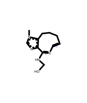 Cn1cnc2c1CCC/C=C/N=C\2NCO